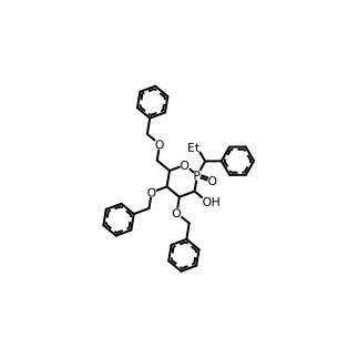 CCC(c1ccccc1)P1(=O)OC(COCc2ccccc2)C(OCc2ccccc2)C(OCc2ccccc2)C1O